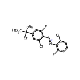 CCCCC(CC)(C(=O)O)c1cc(F)c(/N=N/c2c(F)cccc2Cl)c(Cl)c1